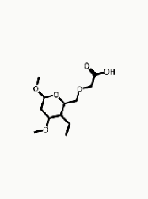 CCC1C(OC)CC(OC)OC1COCC(=O)O